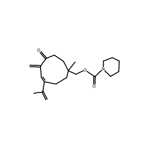 C=C1/C=C(/C(=C)C)CCC(C)(COC(=O)N2CCCCC2)CCC1=O